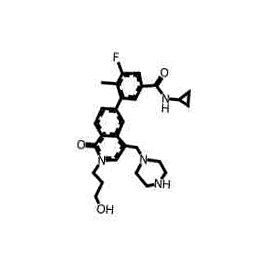 Cc1c(F)cc(C(=O)NC2CC2)cc1-c1ccc2c(=O)n(CCCO)cc(CN3CCNCC3)c2c1